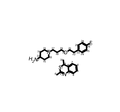 CC1=Nc2ccccc2C(C)S1.NC1CCN(CCCOCCc2ccc(F)cc2)CC1